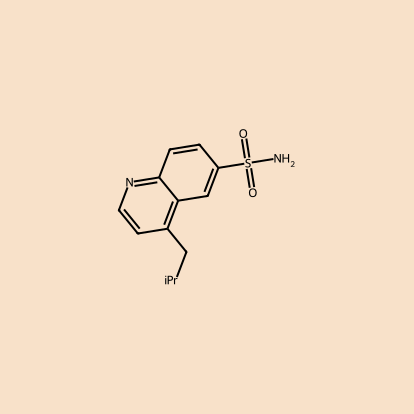 CC(C)Cc1ccnc2ccc(S(N)(=O)=O)cc12